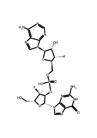 Nc1nc2c(ncn2[C@@H]2O[C@H](CO)[C@@H](F)[C@H]2OP(=O)(O)OC[C@H]2O[C@@H](n3cnc4c(N)ncnc43)[C@H](O)[C@@H]2F)c(=O)[nH]1